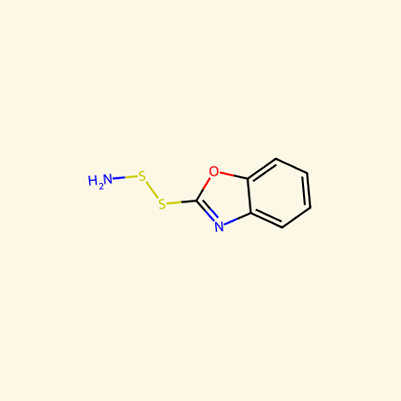 NSSc1nc2ccccc2o1